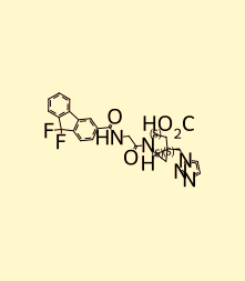 O=C(NCC(=O)N1[C@H]2C[C@@]2(Cn2ccnn2)C[C@H]1C(=O)O)c1ccc2c(c1)-c1ccccc1C2(F)F